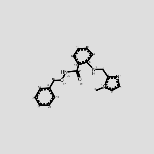 Cn1ccnc1CNc1ccccc1C(=O)NOCc1ccccc1